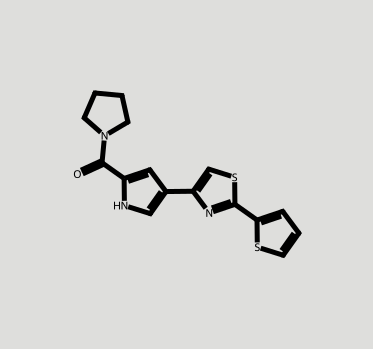 O=C(c1cc(-c2csc(-c3cccs3)n2)c[nH]1)N1CCCC1